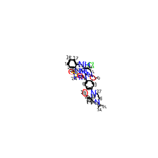 COc1cc2c(cc1Nc1ncc(Cl)c(Nc3ccccc3NS(C)(=O)=O)n1)OC[C@@H]1CN(C(C)C)CCN21